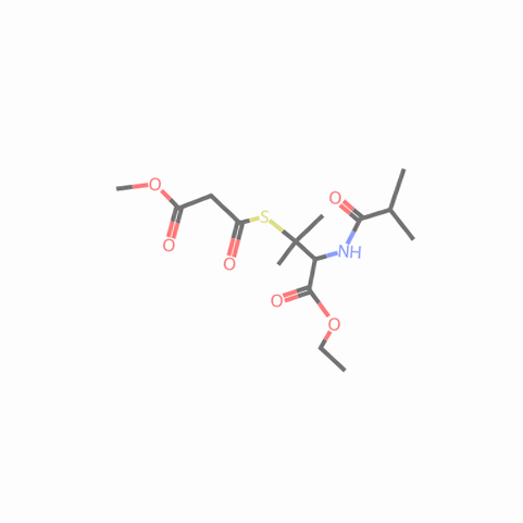 CCOC(=O)C(NC(=O)C(C)C)C(C)(C)SC(=O)CC(=O)OC